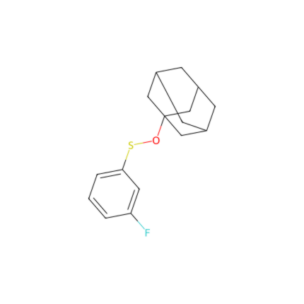 Fc1cccc(SOC23CC4CC(CC(C4)C2)C3)c1